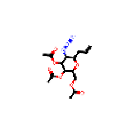 C=CCC1OC(COC(C)=O)C(OC(C)=O)C(OC(C)=O)C1N=[N+]=[N-]